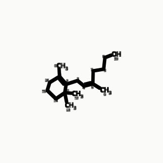 CC1=C(C/C=C(/C)CCCO)C(C)(C)CCC1